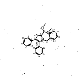 COC(OC)c1nc(-c2ccccc2)c(-c2ccccc2)n1Cc1ccccc1